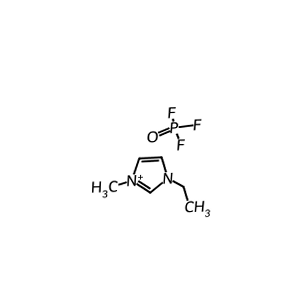 CCn1cc[n+](C)c1.O=P(F)(F)F